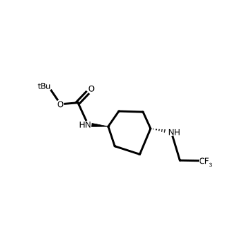 CC(C)(C)OC(=O)N[C@H]1CC[C@H](NCC(F)(F)F)CC1